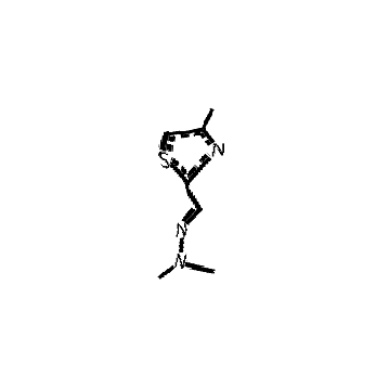 Cc1csc(/C=N/N(C)C)n1